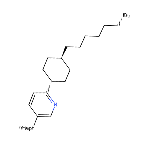 CCCCCCCc1ccc([C@H]2CC[C@H](CCCCCC[C@@H](C)CC)CC2)nc1